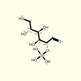 O=C[C@H](O[Si](O)(O)O)[C@@H](O)[C@H](O)[C@H](O)CO